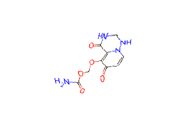 NC(=O)OCOc1c2n(ccc1=O)NCNC2=O